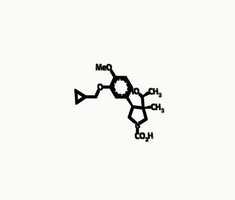 COc1ccc([C@@H]2CN(C(=O)O)C[C@@]2(C)[C@H](C)O)cc1OCC1CC1